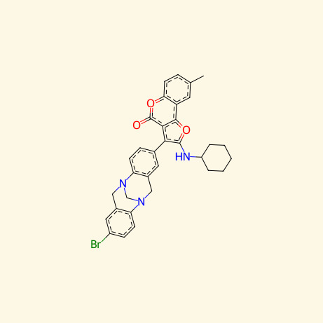 Cc1ccc2oc(=O)c3c(-c4ccc5c(c4)CN4CN5Cc5cc(Br)ccc54)c(NC4CCCCC4)oc3c2c1